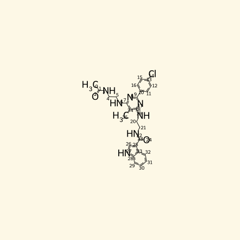 CC(=O)NCCNc1nc(-c2ccc(Cl)cc2)nc(NCCNC(=O)c2c[nH]c3ccccc23)c1C